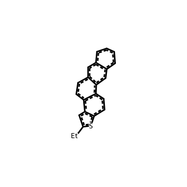 CCc1cc2c(ccc3c4cc5ccccc5cc4ccc23)s1